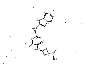 CC(NC(=O)C1CC1c1nc2ccccc2[nH]1)C(=O)NC1CN(C(=O)O)C1